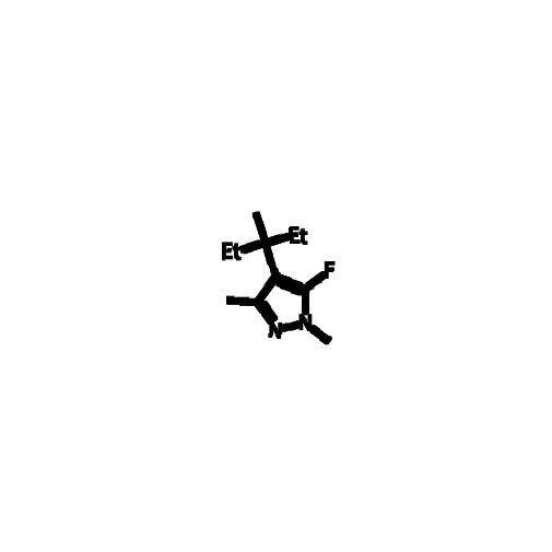 CCC(C)(CC)c1c(C)nn(C)c1F